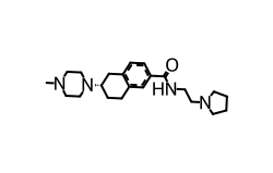 CN1CCN([C@H]2CCc3cc(C(=O)NCCN4CCCC4)ccc3C2)CC1